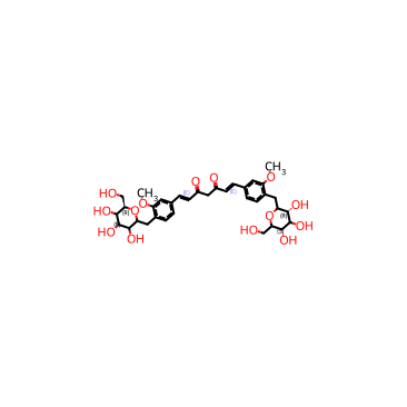 COc1cc(/C=C/C(=O)CC(=O)/C=C/c2ccc(CC3OC(CO)[C@@H](O)C(O)[C@H]3O)c(OC)c2)ccc1CC1O[C@H](CO)C(O)[C@H](O)C1O